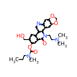 CCCN(C)C(=O)Oc1cc2c(=O)n(CCN(C)C)c3c4cc5c(cc4ncc3c2cc1CO)OCO5